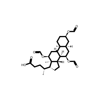 C[C@H](CCC(=O)O)[C@H]1CC[C@H]2[C@@H]3[C@H](OC=O)C[C@@H]4C[C@H](OC=O)CC[C@]4(C)[C@H]3C[C@H](OC=O)[C@]12C